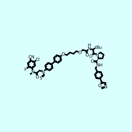 CN(C(=O)CN(C=S)c1ccc(-c2ccc(OCCCCOCC(=O)NC(C(=O)N3CCC[C@H]3C(=O)NCc3ccc(-c4cnco4)cc3)C(C)(C)C)cc2)cc1)c1cc(Cl)c(C#N)cc1F